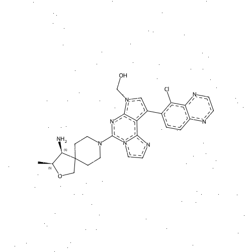 C[C@@H]1OCC2(CCN(c3nc4c(c(-c5ccc6nccnc6c5Cl)cn4CO)c4nccn34)CC2)[C@@H]1N